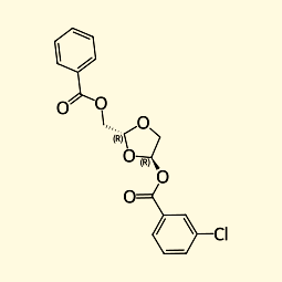 O=C(OC[C@@H]1OC[C@@H](OC(=O)c2cccc(Cl)c2)O1)c1ccccc1